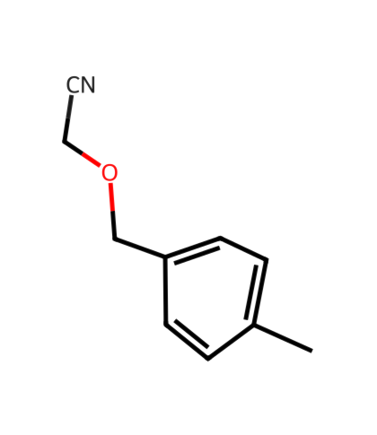 Cc1ccc(COCC#N)cc1